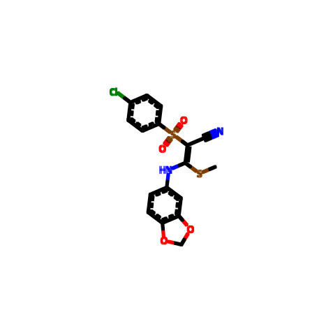 CS/C(Nc1ccc2c(c1)OCO2)=C(\C#N)S(=O)(=O)c1ccc(Cl)cc1